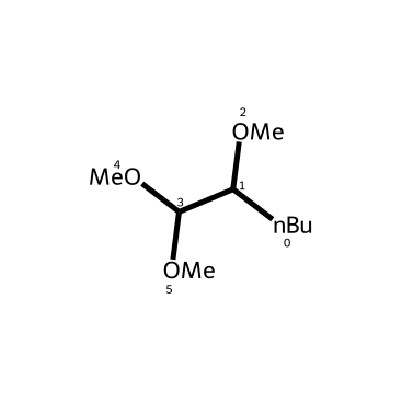 [CH2]CCCC(OC)C(OC)OC